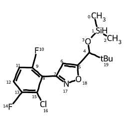 C[SiH](C)OC(c1cc(-c2c(F)ccc(F)c2Cl)no1)C(C)(C)C